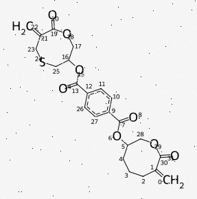 C=C1CCCC(OC(=O)c2ccc(C(=O)OC3COC(=O)C(=C)CSC3)cc2)COC1=O